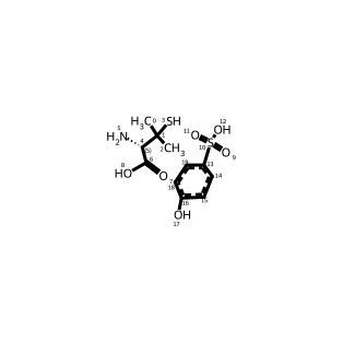 CC(C)(S)[C@@H](N)C(=O)O.O=S(=O)(O)c1ccc(O)cc1